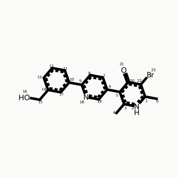 Cc1[nH]c(C)c(-c2ccc(-c3cccc(CO)c3)nc2)c(=O)c1Br